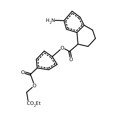 CCOC(=O)COC(=O)c1ccc(OC(=O)C2CCCc3ccc(N)cc32)cc1